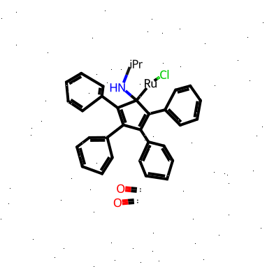 CC(C)N[C]1([Ru][Cl])C(c2ccccc2)=C(c2ccccc2)C(c2ccccc2)=C1c1ccccc1.[C]=O.[C]=O